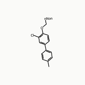 CCCCCCCCCCOc1ccc(-c2ccc(C)cc2)cc1Cl